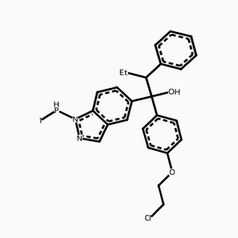 CCC(c1ccccc1)C(O)(c1ccc(OCCCl)cc1)c1ccc2c(cnn2PI)c1